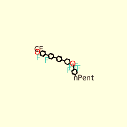 CCCCCc1cc(F)c(C(F)(F)OC2CCC(c3ccc(-c4ccc(-c5ccc(OC(F)(F)F)c(F)c5)c(F)c4)cc3)CC2)c(F)c1